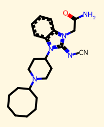 N#C/N=c1\n(CC(N)=O)c2ccccc2n1C1CCN(C2CCCCCCC2)CC1